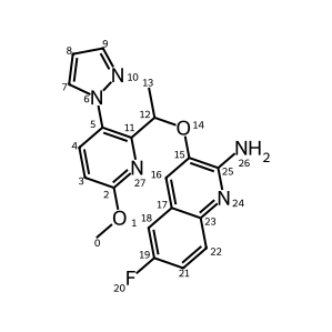 COc1ccc(-n2cccn2)c(C(C)Oc2cc3cc(F)ccc3nc2N)n1